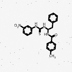 Cc1ccc(C(=O)NC(Cc2ccccc2)NC(=S)Nc2cccc([N+](=O)[O-])c2)cc1